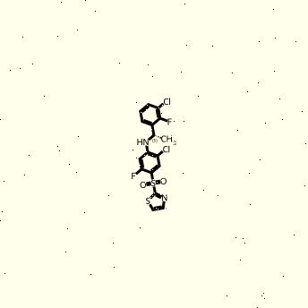 C[C@H](Nc1cc(F)c(S(=O)(=O)c2n[c]cs2)cc1Cl)c1cccc(Cl)c1F